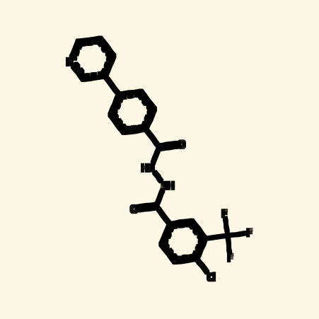 O=C(NNC(=O)c1ccc(Cl)c(C(F)(F)F)c1)c1ccc(-c2cccnc2)cc1